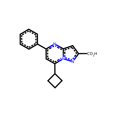 O=C(O)c1cc2nc(-c3ccccc3)cc(C3CCC3)n2n1